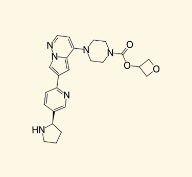 O=C(OC1COC1)N1CCN(c2ccnn3cc(-c4ccc([C@H]5CCCN5)cn4)cc23)CC1